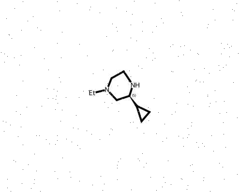 CCN1CCN[C@@H](C2CC2)C1